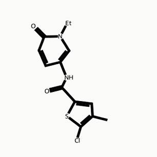 CCn1cc(NC(=O)c2cc(C)c(Cl)s2)ccc1=O